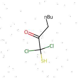 CCCCCC(=O)C(S)(Cl)Cl